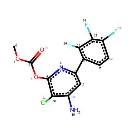 COC(=O)Oc1nc(-c2ccc(F)c(F)c2F)cc(N)c1Cl